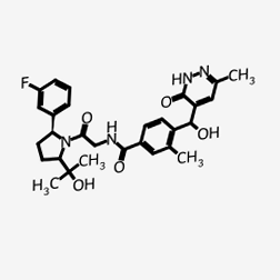 Cc1cc(C(O)c2ccc(C(=O)NCC(=O)N3C(C(C)(C)O)CC[C@H]3c3cccc(F)c3)cc2C)c(=O)[nH]n1